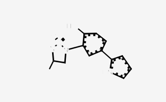 O=CC1CN(c2cc(-c3ccc[nH]3)ccc2O)S(=O)(=O)N1